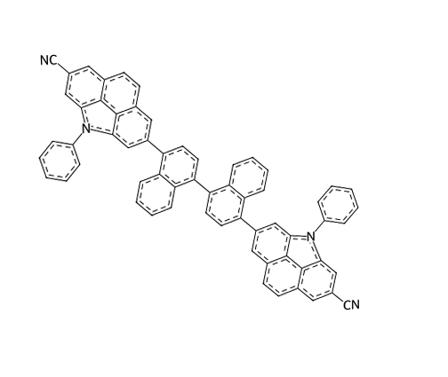 N#Cc1cc2ccc3cc(-c4ccc(-c5ccc(-c6cc7ccc8cc(C#N)cc9c8c7c(c6)n9-c6ccccc6)c6ccccc56)c5ccccc45)cc4c3c2c(c1)n4-c1ccccc1